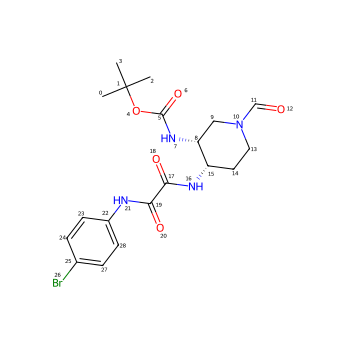 CC(C)(C)OC(=O)N[C@@H]1CN(C=O)CC[C@@H]1NC(=O)C(=O)Nc1ccc(Br)cc1